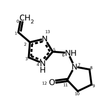 C=Cc1c[nH]c(NN2CCCC2=O)n1